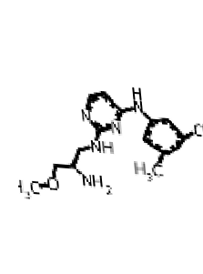 COC[C@H](N)CNc1nccc(Nc2cc(C)cc(C)c2)n1